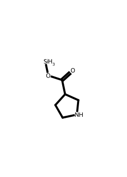 O=C(O[SiH3])C1CCNC1